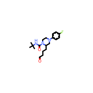 CC(C)(C)NC(=O)N1CCN(c2ccc(F)cc2)CC1CCCC=O